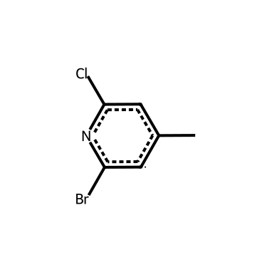 Cc1[c]c(Br)nc(Cl)c1